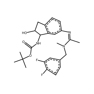 CC(=Nc1ccc2c(c1)C(NC(=O)OC(C)(C)C)C(O)C2)N(C)Cc1ccc(F)c(F)c1